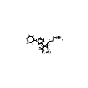 COC(=O)C1(c2cn(C3CCCCC3)cn2)CC1CCCN